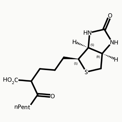 CCCCCC(=O)C(CCC[C@@H]1SC[C@@H]2NC(=O)N[C@@H]21)C(=O)O